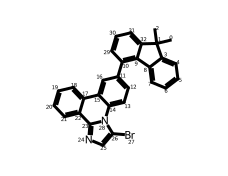 CC1(C)c2ccccc2-c2c(-c3ccc4c(c3)c3ccccc3c3ncc(Br)n43)cccc21